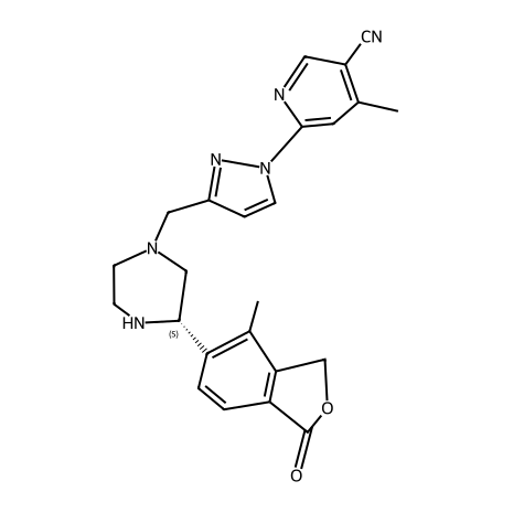 Cc1cc(-n2ccc(CN3CCN[C@@H](c4ccc5c(c4C)COC5=O)C3)n2)ncc1C#N